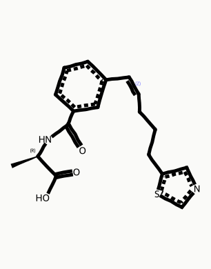 C[C@@H](NC(=O)c1cccc(/C=C\CCCc2cncs2)c1)C(=O)O